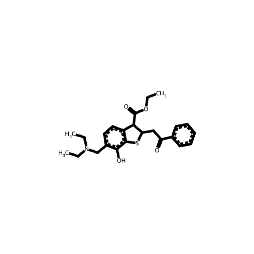 CCOC(=O)C1c2ccc(CN(CC)CC)c(O)c2SC1CC(=O)c1ccccc1